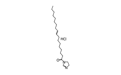 CCCCCCCCC=CCCCCCCCC(=O)N1C=NCC1.Cl